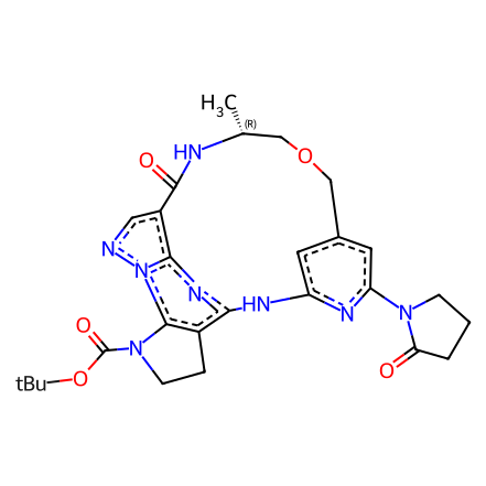 C[C@@H]1COCc2cc(nc(N3CCCC3=O)c2)Nc2nc3c(cnn3c3c2CCN3C(=O)OC(C)(C)C)C(=O)N1